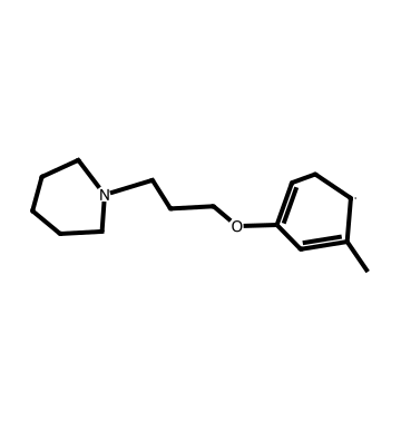 CC1=CC(OCCCN2CCCCC2)=CC[CH]1